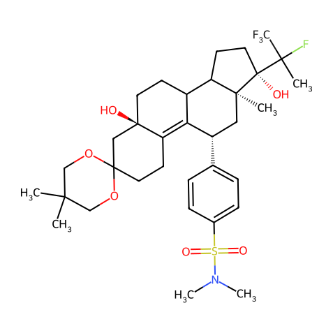 CN(C)S(=O)(=O)c1ccc([C@H]2C[C@@]3(C)C(CC[C@@]3(O)C(C)(F)C(F)(F)F)C3CC[C@@]4(O)CC5(CCC4=C32)OCC(C)(C)CO5)cc1